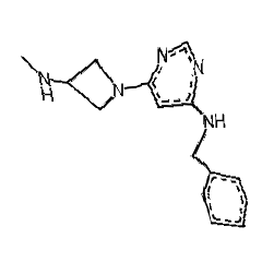 CNC1CN(c2cc(NCc3ccccc3)ncn2)C1